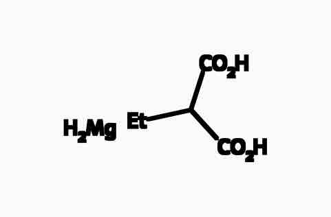 CCC(C(=O)O)C(=O)O.[MgH2]